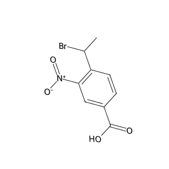 CC(Br)c1ccc(C(=O)O)cc1[N+](=O)[O-]